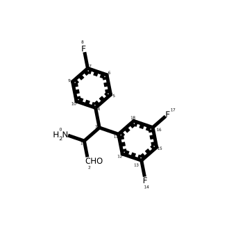 NC(C=O)C(c1ccc(F)cc1)c1cc(F)cc(F)c1